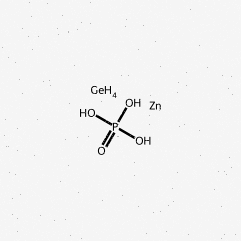 O=P(O)(O)O.[GeH4].[Zn]